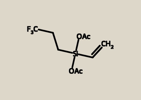 C=C[Si](CCC(F)(F)F)(OC(C)=O)OC(C)=O